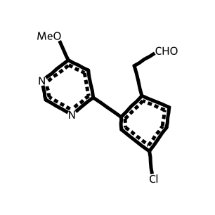 COc1cc(-c2cc(Cl)ccc2CC=O)ncn1